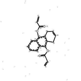 C=CC(=O)Oc1c2c(c(OC(=O)C=C)c3ccccc13)CC=CC2